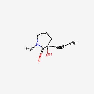 CN1CCCC(O)(C#CC(C)(C)C)C1=O